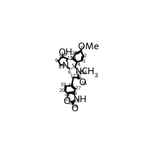 COc1ccc([C@@H](CN2CC[C@H](O)C2)N(C)C(=O)Cc2ccc3oc(=O)[nH]c3c2)cc1